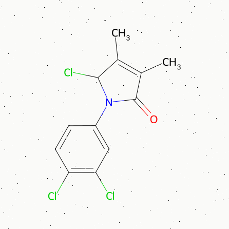 CC1=C(C)C(Cl)N(c2ccc(Cl)c(Cl)c2)C1=O